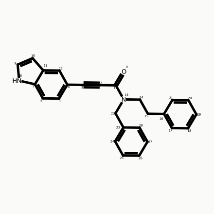 O=C(C#Cc1ccc2[nH]ccc2c1)N(CCc1ccccc1)Cc1ccccc1